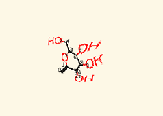 C=C1OC(CO)C(O)C(O)C1O